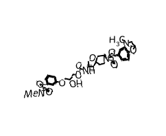 CNS(=O)(=O)c1cccc(OCC(O)COC(=O)N[C@H]2COC3(CCN(S(=O)(=O)c4ccc5c(c4)N(C)CCO5)CC3)C2)c1